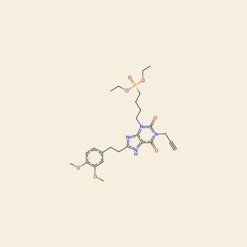 C#CCn1c(=O)c2[nH]c(CCc3ccc(OC)c(OC)c3)nc2n(CCCCP(=O)(OCC)OCC)c1=O